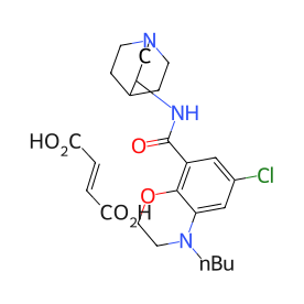 CCCCN1CCOc2c(C(=O)NC3CN4CCC3CC4)cc(Cl)cc21.O=C(O)/C=C/C(=O)O